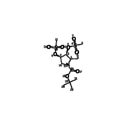 CC1[C@H](OS(C)(=O)=O)[C@H](OS(C)(=O)=O)CN1C(=O)OC(C)(C)C